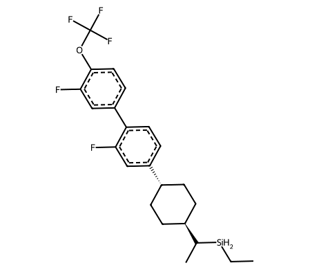 CC[SiH2]C(C)[C@H]1CC[C@H](c2ccc(-c3ccc(OC(F)(F)F)c(F)c3)c(F)c2)CC1